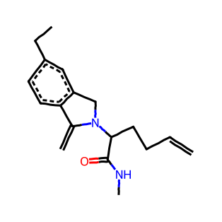 C=CCCC(C(=O)NC)N1Cc2cc(CC)ccc2C1=C